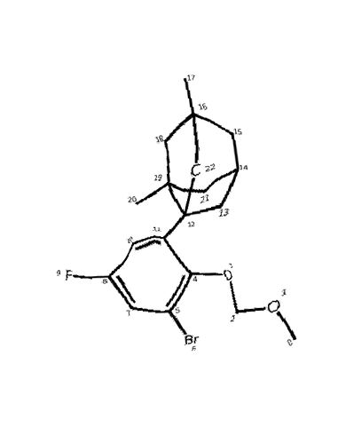 COCOc1c(Br)cc(F)cc1C12CC3CC(C)(CC1(C)C3)C2